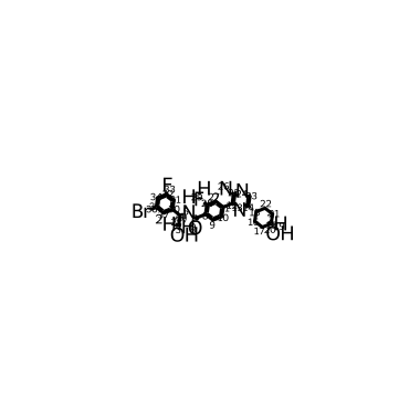 [2H]C([2H])(O)[C@@H](NC(=O)c1ccc(-c2nc([C@H]3CC[C@]([2H])(O)CC3)cnc2N)cc1F)c1cc(F)cc(Br)c1